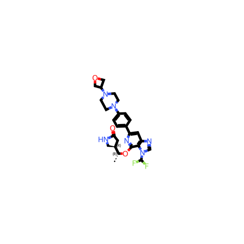 C[C@@H](Oc1nc(-c2ccc(N3CCN(C4COC4)CC3)cc2)cc2ncn(C(F)F)c12)[C@H]1CNC(=O)C1